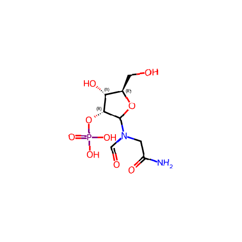 NC(=O)CN(C=O)C1O[C@H](CO)[C@@H](O)[C@H]1OP(=O)(O)O